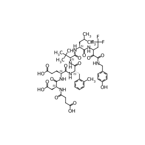 Cc1ccccc1C[C@H](NC(=O)[C@H](CCC(=O)O)NC(=O)[C@H](CC(=O)O)NC(=O)CCC(=O)O)C(=O)N[C@H](C(=O)N[C@@H](CC(C)C)C(=O)NC(CC(F)(F)F)C(=O)C(=O)NCc1ccc(O)cc1)C(C)(C)C